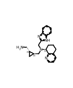 NC[C@H]1C[C@@H]1CN(Cc1nc2ccccc2[nH]1)[C@H]1CCCc2cccnc21